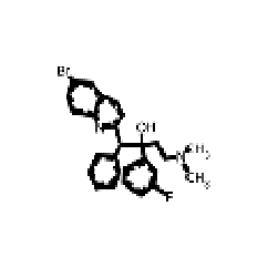 CN(C)CC[C@](O)(c1cccc(F)c1)C(c1ccccc1)c1ccc2cc(Br)ccc2n1